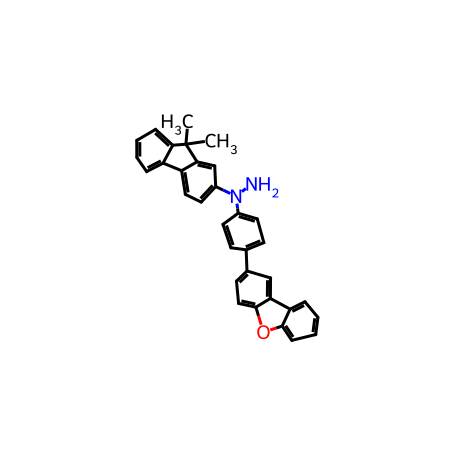 CC1(C)c2ccccc2-c2ccc(N(N)c3ccc(-c4ccc5oc6ccccc6c5c4)cc3)cc21